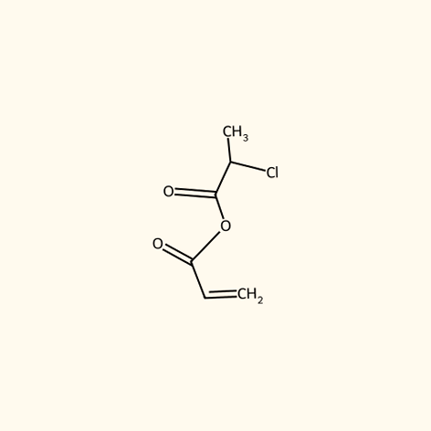 C=CC(=O)OC(=O)C(C)Cl